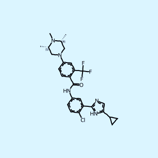 C[C@@H]1CN(c2ccc(C(=O)Nc3ccc(Cl)c(-c4ncc(C5CC5)[nH]4)c3)c(C(F)(F)F)c2)C[C@H](C)N1C